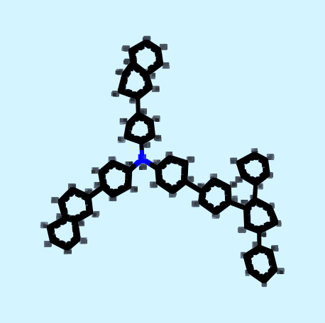 c1ccc(-c2ccc(-c3ccccc3)c(-c3ccc(-c4ccc(N(c5ccc(-c6ccc7ccccc7c6)cc5)c5ccc(-c6ccc7ccccc7c6)cc5)cc4)cc3)c2)cc1